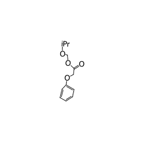 CC(C)OCOC(=O)COc1ccccc1